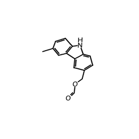 Cc1ccc2[nH]c3ccc(COC=O)cc3c2c1